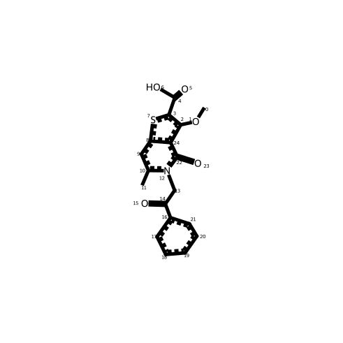 COc1c(C(=O)O)sc2cc(C)n(CC(=O)c3ccccc3)c(=O)c12